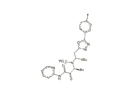 CCCC[C@@H](C(=O)C(=O)Nc1ccccn1)N(C(=O)O)C(Cc1nnc(-c2ccc(F)cc2)o1)C(C)(C)C